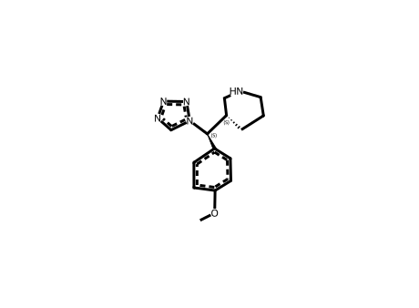 COc1ccc([C@H]([C@H]2CCCNC2)n2cnnn2)cc1